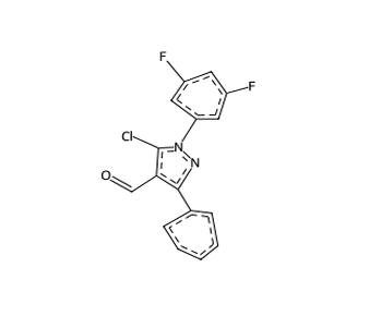 O=Cc1c(-c2ccccc2)nn(-c2cc(F)cc(F)c2)c1Cl